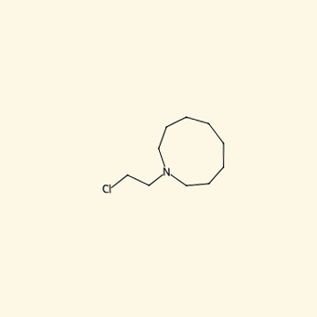 ClCCN1CCCCCCCC1